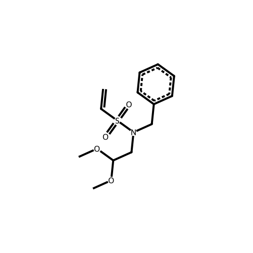 C=CS(=O)(=O)N(Cc1ccccc1)CC(OC)OC